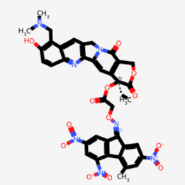 CC[C@@]1(OC(=O)CO/N=C2/c3cc([N+](=O)[O-])cc(C)c3-c3c2cc([N+](=O)[O-])cc3[N+](=O)[O-])C(=O)OCc2c1cc1n(c2=O)Cc2cc3c(CN(C)C)c(O)ccc3nc2-1